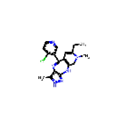 CCC1=CC2=C(CN1C)Nc1n[nH]c(C)c1N=C2c1cnccc1Cl